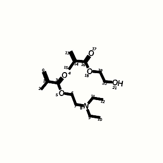 C=C(C)C(=O)OCCN(CC)CC.C=C(C)C(=O)OCCO